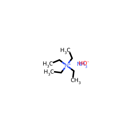 CC[N+](CC)(CC)CC.N.[OH-]